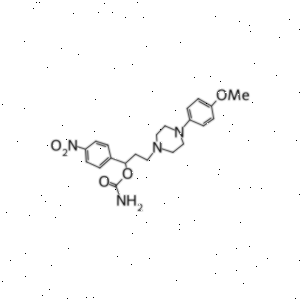 COc1ccc(N2CCN(CCC(OC(N)=O)c3ccc([N+](=O)[O-])cc3)CC2)cc1